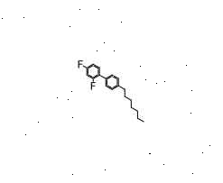 CCCCCCCc1ccc(-c2ccc(F)cc2F)cc1